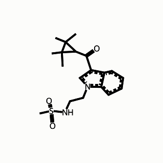 CC1(C)C(C(=O)c2cn(CCNS(C)(=O)=O)c3ccccc23)C1(C)C